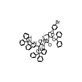 O=C(NC1C(=O)N2C(C(=O)OC(c3ccccc3)c3ccccc3)=C(COc3ccc(Br)cc3)CS[C@@H]12)C(=NOC(c1ccccc1)(c1ccccc1)c1ccccc1)c1csc(NC(c2ccccc2)(c2ccccc2)c2ccccc2)n1